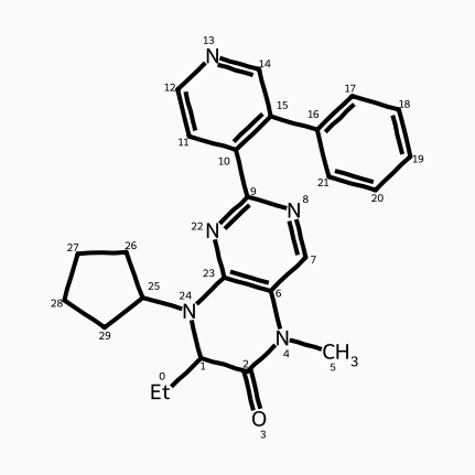 CCC1C(=O)N(C)c2cnc(-c3ccncc3-c3ccccc3)nc2N1C1CCCC1